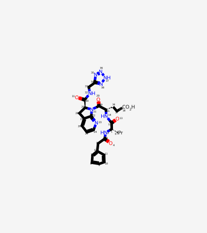 CC(C)[C@H](NC(=O)Cc1ccccc1)C(=O)N[C@@H](CCC(=O)O)C(=O)N1c2ncccc2C[C@H]1C(=O)NCc1nn[nH]n1